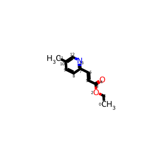 CCOC(=O)C=Cc1ccc(C)cn1